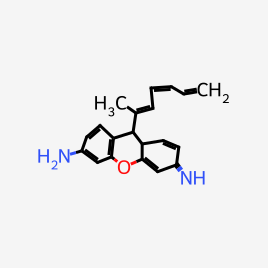 C=C/C=C\C=C(/C)C1c2ccc(N)cc2OC2=CC(=N)C=CC21